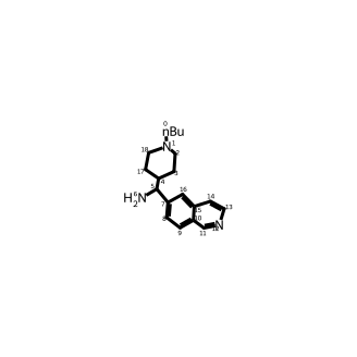 CCCCN1CCC(C(N)c2ccc3cnccc3c2)CC1